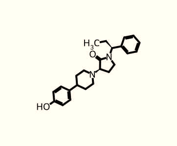 CC[C@@H](c1ccccc1)N1CC[C@@H](N2CCC(c3ccc(O)cc3)CC2)C1=O